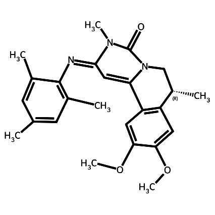 COc1cc2c(cc1OC)[C@@H](C)Cn1c-2cc(=Nc2c(C)cc(C)cc2C)n(C)c1=O